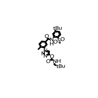 Cc1ccc(C(=O)Nc2cc(C(C)(C)C)ccc2S(C)(=O)=O)cc1-n1cc(OC(=O)NCC(C)(C)C)nn1